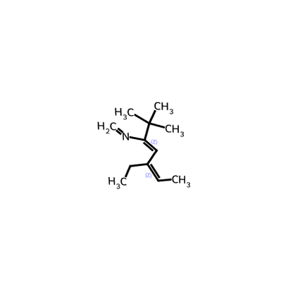 C=N/C(=C\C(=C/C)CC)C(C)(C)C